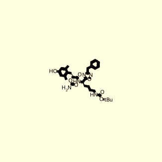 Cc1cc(O)cc(C)c1C[C@@H](OC(N)=O)C(=O)N[C@H](CCCCNC(=O)OC(C)(C)C)c1nc(Cc2ccccc2)no1